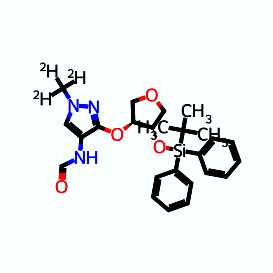 [2H]C([2H])([2H])n1cc(NC=O)c(O[C@H]2COC[C@@H]2O[Si](c2ccccc2)(c2ccccc2)C(C)(C)C)n1